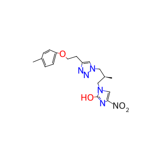 Cc1ccc(OCCc2cn(C[C@@H](C)Cn3cc([N+](=O)[O-])nc3O)nn2)cc1